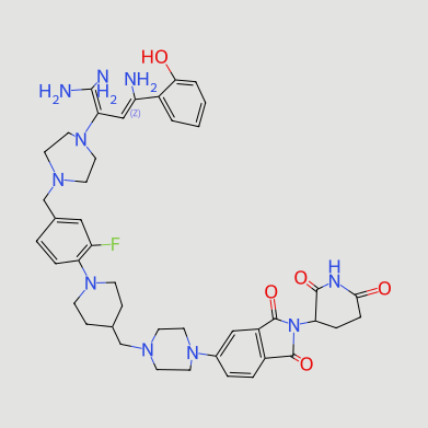 NC(N)=C(/C=C(\N)c1ccccc1O)N1CCN(Cc2ccc(N3CCC(CN4CCN(c5ccc6c(c5)C(=O)N(C5CCC(=O)NC5=O)C6=O)CC4)CC3)c(F)c2)CC1